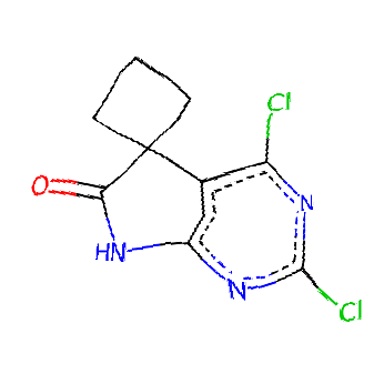 O=C1Nc2nc(Cl)nc(Cl)c2C12CCC2